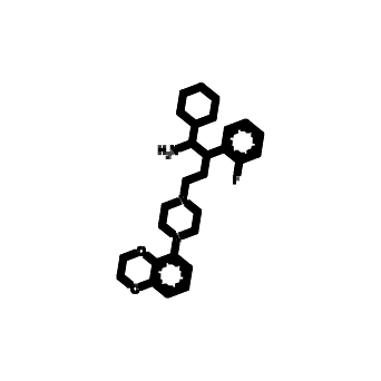 NC(C1CCCCC1)C(CCN1CCN(c2cccc3c2OCCO3)CC1)c1ccccc1F